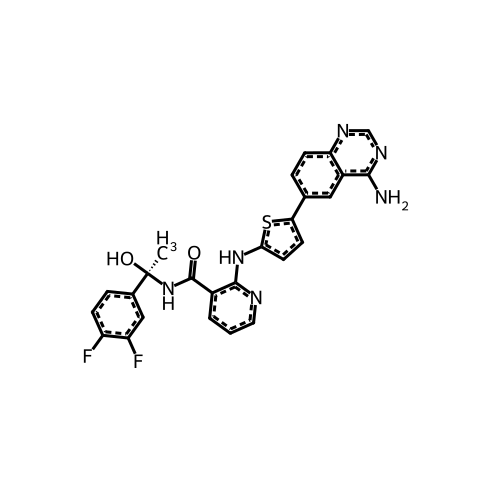 C[C@](O)(NC(=O)c1cccnc1Nc1ccc(-c2ccc3ncnc(N)c3c2)s1)c1ccc(F)c(F)c1